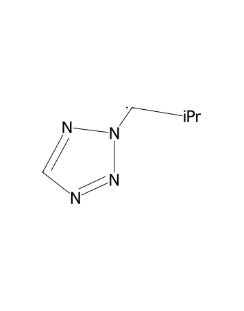 CC(C)[CH]n1ncnn1